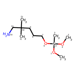 CO[Si](C)(OC)OCCCC(C)(C)CN